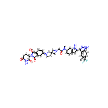 CN(C(=O)CN1CC2(CCN(c3ccc4c(c3)C(=O)N(C3CCC(=O)NC3=O)C4=O)C2)C1)c1ccc2cc(-c3n[nH]c4c3C[C@@H]3C(F)(F)[C@]3(C)C4)[nH]c2c1